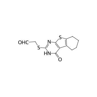 O=CCSc1nc2sc3c(c2c(=O)[nH]1)CCCC3